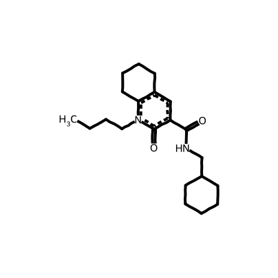 CCCCn1c2c(cc(C(=O)NCC3CCCCC3)c1=O)CCCC2